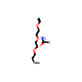 C=COCCOCCOCCOC.CCC(N)=O